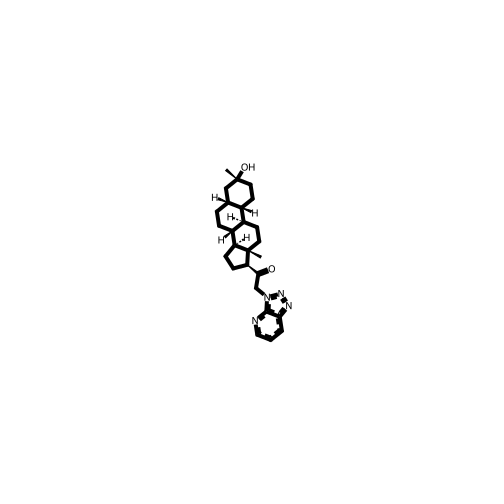 C[C@@]1(O)CC[C@H]2[C@H](CC[C@@H]3[C@@H]2CC[C@]2(C)[C@@H](C(=O)Cn4nnc5cccnc54)CC[C@@H]32)C1